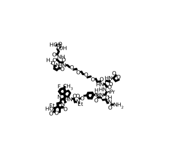 C=C(NC(=O)CCP(=O)(O)O)[C@@H](C(=O)NCCOCCOCCOCCOCCC(=O)N[C@@H](CC(=O)N[C@H]1CCOC1=O)C(=O)N[C@H](C(=O)N[C@@H](CCCNC(N)=O)C(=O)Nc1ccc(COC(=O)N(CC)CC(=O)NC2CCc3c(C)c(F)cc4nc5c(c2c34)Cn2c-5cc3c(c2=O)COC(=O)[C@]3(O)CC)cc1)C(C)C)N1C(=O)C=CC1=O